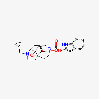 O=C(Cc1cc2ccccc2[nH]1)N1CCC23CCN(CC4CC4)C(Cc4ccc(O)cc42)C3(O)CC1